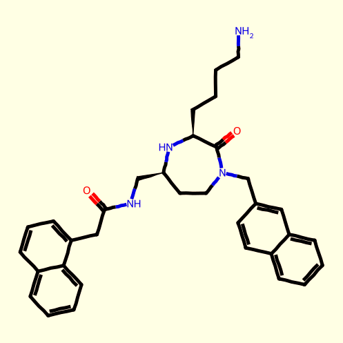 NCCCC[C@@H]1N[C@H](CNC(=O)Cc2cccc3ccccc23)CCN(Cc2ccc3ccccc3c2)C1=O